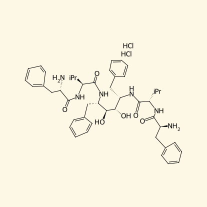 CC(C)[C@H](NC(=O)[C@@H](N)Cc1ccccc1)C(=O)N[C@@H](Cc1ccccc1)[C@H](O)[C@@H](O)[C@H](Cc1ccccc1)NC(=O)[C@@H](NC(=O)[C@@H](N)Cc1ccccc1)C(C)C.Cl.Cl